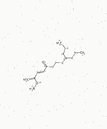 C=C(/C=C/C(=O)CCCN(CCC)CCC)ON